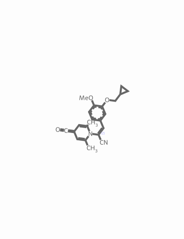 COc1ccc(/C=C(/C#N)N2C(C)=CC(=C=O)C=C2C)cc1OCC1CC1